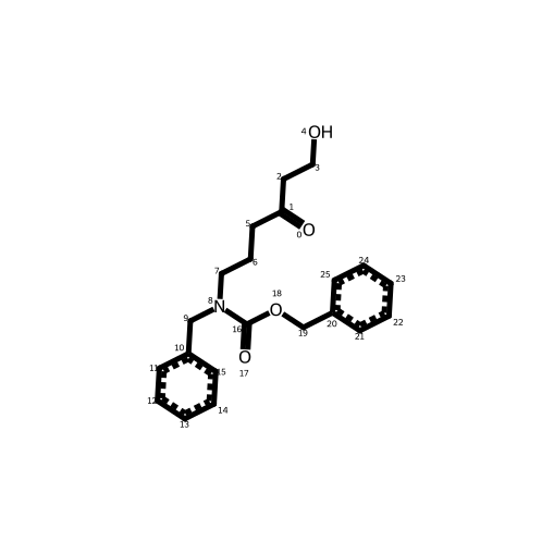 O=C(CCO)CCCN(Cc1ccccc1)C(=O)OCc1ccccc1